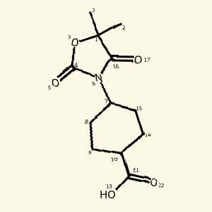 CC1(C)OC(=O)N(C2CCC(C(=O)O)CC2)C1=O